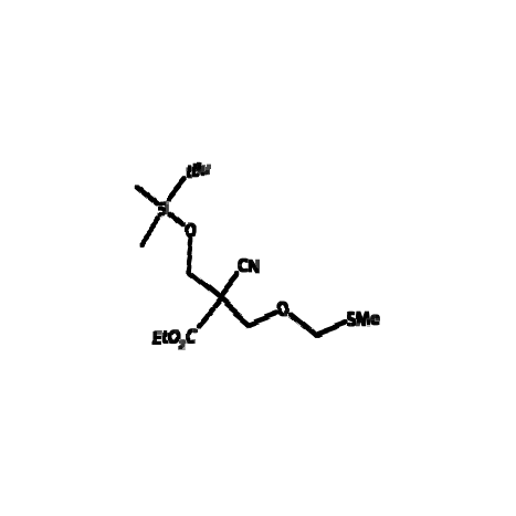 CCOC(=O)C(C#N)(COCSC)CO[Si](C)(C)C(C)(C)C